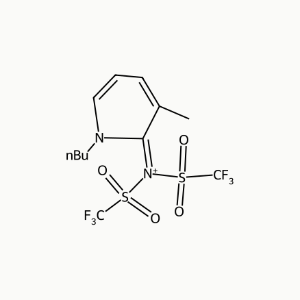 CCCCn1cccc(C)c1=[N+](S(=O)(=O)C(F)(F)F)S(=O)(=O)C(F)(F)F